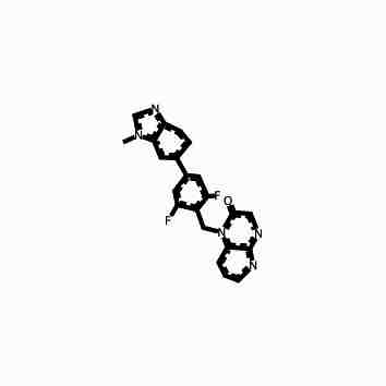 Cn1cnc2ccc(-c3cc(F)c(Cn4c(=O)cnc5ncccc54)c(F)c3)cc21